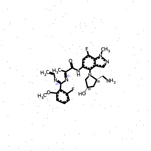 C=C/N=C(\N=C(/C)C(=O)Nc1cc(F)c2c(cnn2C)c1N1C[C@@H](O)C[C@H]1CN)c1c(F)cccc1OC